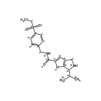 CCS(=O)(=O)c1ccc(CNC(=O)c2cc3c(o2)C(C(C)C)NC3)nc1